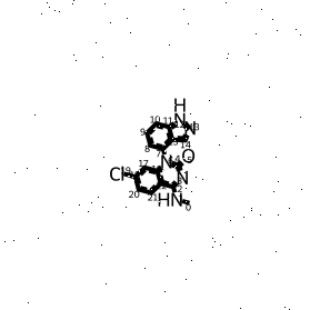 CNc1nc(=O)n(-c2cccc3[nH]ncc23)c2cc(Cl)ccc12